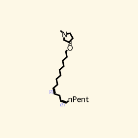 CCCCC/C=C\C/C=C\CCCCCCCCO[C@H]1CCN(C)C1